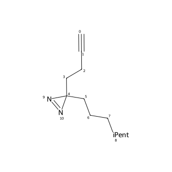 C#CCCC1(CCCC(C)CCC)N=N1